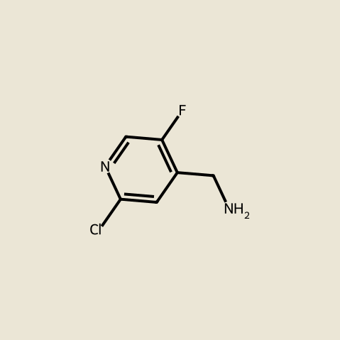 NCc1cc(Cl)ncc1F